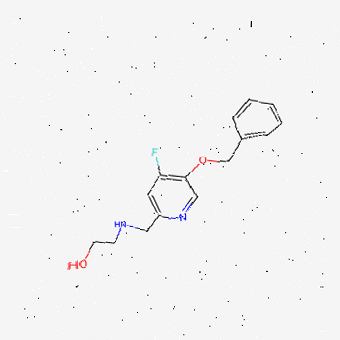 OCCNCc1cc(F)c(OCc2ccccc2)cn1